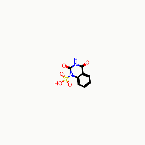 O=c1[nH]c(=O)n(S(=O)(=O)O)c2ccccc12